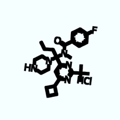 CCCC(c1cc(C2CCC2)nc(C(C)(C)C)n1)(N1CCNCC1)N(C)C(=O)c1ccc(F)cc1.Cl